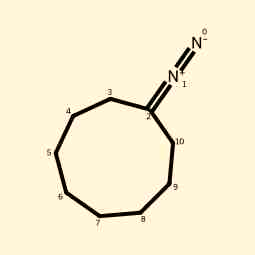 [N-]=[N+]=C1CCCCCCCC1